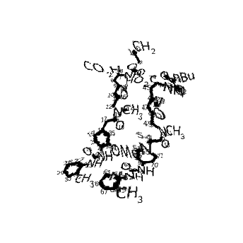 C=CCOC(=O)NC(Cc1cc(CN(C)C(=O)Cc2ccc(NC(=O)Nc3ccccc3C)c(OC)c2)on1)C(=O)O.CCCCS(=O)(=O)NC(Cc1cc(CN(C)C(=O)CN2CCC(NC(=O)Nc3ncccc3C)CC2)on1)C(=O)O